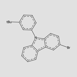 CC(C)(C)c1cccc(-n2c3ccccc3c3cc(Br)ccc32)c1